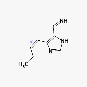 CC/C=C\c1nc[nH]c1C=N